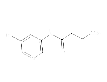 CNCCC(=O)Nc1cncc(Br)c1